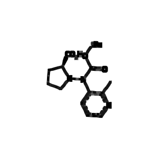 Cc1ncccc1N(C(=O)OC(C)(C)C)N1CCC[C@H]1C(=O)O